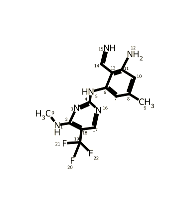 CNc1nc(Nc2cc(C)cc(N)c2C=N)ncc1C(F)(F)F